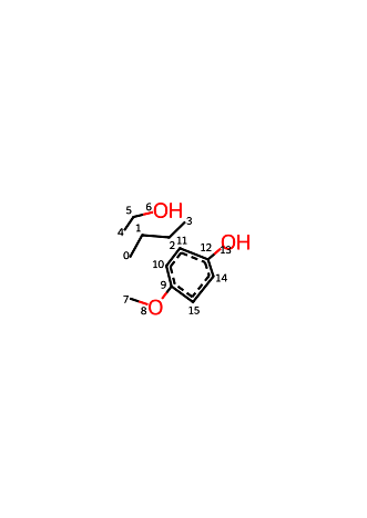 CCCC.CCO.COc1ccc(O)cc1